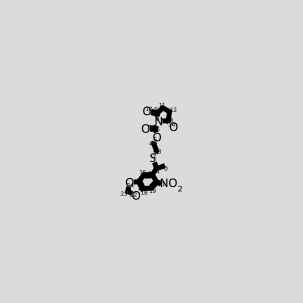 CC(SCCOC(=O)N1C(=O)CCC1=O)c1cc2c(cc1[N+](=O)[O-])OCO2